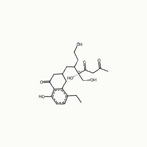 CCc1ccc(O)c2c1CC(CC(CCO)[C@](O)(CO)C(=O)CC(C)=O)CC2=O